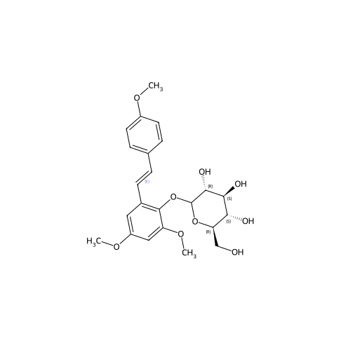 COc1ccc(/C=C/c2cc(OC)cc(OC)c2OC2O[C@H](CO)[C@@H](O)[C@H](O)[C@H]2O)cc1